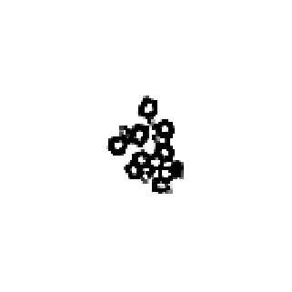 c1ccc(N(c2ccc3c(c2)oc2ccccc23)c2cccc3c2sc2c4c(ccc23)C2(c3cccnc3-c3ncccc32)c2ccc3c5c(ccc-4c25)CC3)cc1